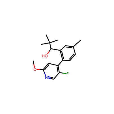 COc1cc(-c2ccc(C)cc2C(O)C(C)(C)C)c(F)cn1